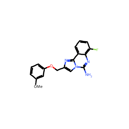 COc1cccc(OCc2cn3c(N)nc4c(F)cccc4c3n2)c1